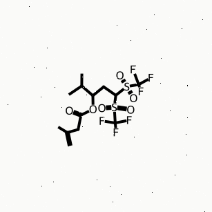 C=C(C)CC(=O)OC(CC(S(=O)(=O)C(F)(F)F)S(=O)(=O)C(F)(F)F)C(C)C